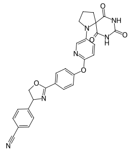 N#Cc1ccc(C2COC(c3ccc(Oc4ccc(N5CCCC56C(=O)NC(=O)NC6=O)cn4)cc3)=N2)cc1